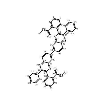 COC(=O)c1ccccc1-c1nc2cc(-c3ccc4nc(-c5ccccc5)c(-c5ccccc5C(=O)OC)nc4c3)ccc2nc1-c1ccccc1